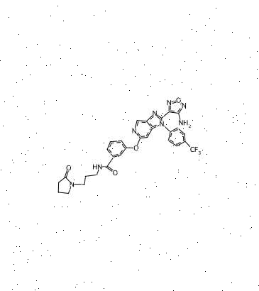 Nc1nonc1-c1nc2cnc(Oc3cccc(C(=O)NCCCN4CCCC4=O)c3)cc2n1-c1ccc(C(F)(F)F)cc1